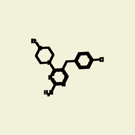 CCN1CCN(c2nc(N)ncc2Cc2ccc(Cl)cc2)CC1